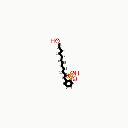 O=S(=O)(O)c1ccccc1CCCCCCCCCCCCO